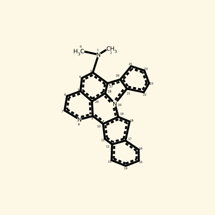 CN(C)c1cc2ccnc3c4cc5ccccc5cc4n4c5ccccc5c1c4c23